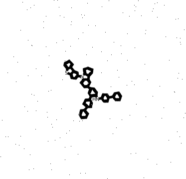 c1ccc(-c2ccc(Nc3ccc(-c4ccc5c(c4)c4ccccc4n5-c4ccc5sc6ccccc6c5c4)cc3-c3ccc(-c4ccccc4)cc3)cc2)cc1